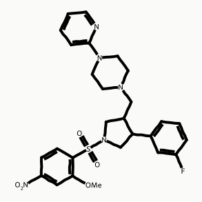 COc1cc([N+](=O)[O-])ccc1S(=O)(=O)N1CC(CN2CCN(c3ccccn3)CC2)C(c2cccc(F)c2)C1